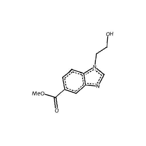 COC(=O)c1ccc2c(c1)ncn2CCO